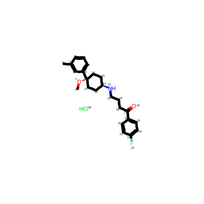 CO[C@]1(c2cccc(C)c2)CC[C@@H](NCCCC(=O)c2ccc(F)cc2)CC1.Cl